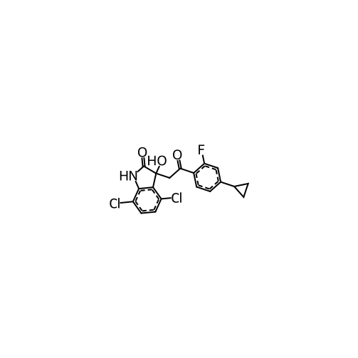 O=C(CC1(O)C(=O)Nc2c(Cl)ccc(Cl)c21)c1ccc(C2CC2)cc1F